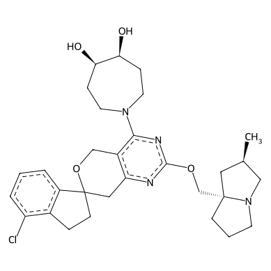 C[C@H]1CN2CCC[C@@]2(COc2nc3c(c(N4CC[C@@H](O)[C@@H](O)CC4)n2)COC2(CCc4c(Cl)cccc42)C3)C1